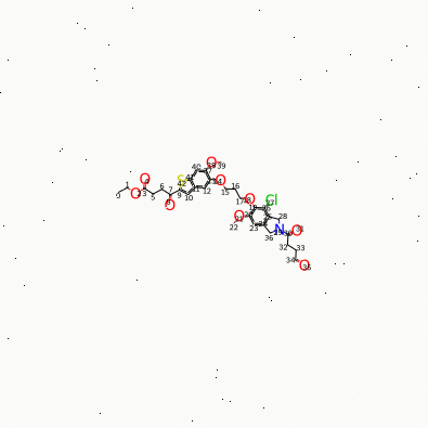 CCOC(=O)CCC(=O)c1cc2cc(OCCCOc3c(OC)cc4c(c3Cl)CN(C(=O)CCC=O)C4)c(OC)cc2s1